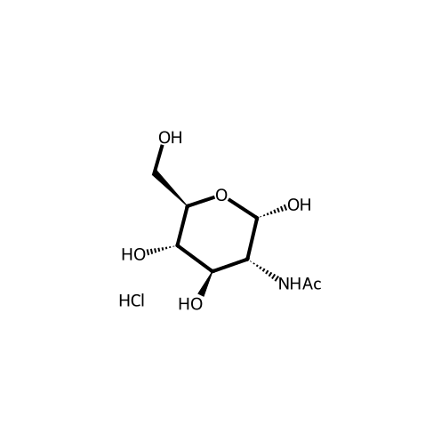 CC(=O)N[C@@H]1[C@@H](O)[C@H](O)[C@@H](CO)O[C@@H]1O.Cl